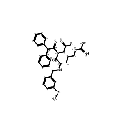 COc1cccc(CN[C@@H](CCCNC(=N)N)C(=O)N(CC(=O)O)C(=O)C(c2ccccc2)c2ccccc2)c1